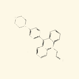 C=CC[n+]1c2ccccc2c(-c2ccc(N3CCNCC3)cc2)c2ccccc21.[Br-]